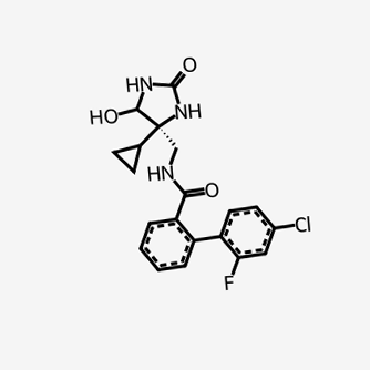 O=C1NC(O)[C@](CNC(=O)c2ccccc2-c2ccc(Cl)cc2F)(C2CC2)N1